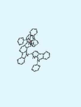 Nc1c(/C=C\Cn2c3ccccc3c3ccc4c5ccccc5n(-c5ccc6c7ccccc7n(-c7ccccc7)c6n5)c4c32)c2ccccc2n1-c1ccccc1